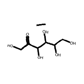 CC.O=C(CO)C(O)C(O)C(O)CO